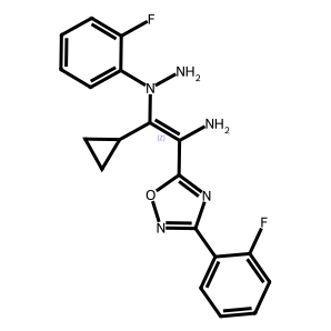 N/C(=C(/C1CC1)N(N)c1ccccc1F)c1nc(-c2ccccc2F)no1